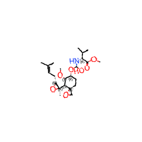 COC(=O)[C@H](NC(O)O[C@@H]1CC[C@]2(CO2)[C@@H]([C@@]2(C)O[C@@H]2CC=C(C)C)[C@@H]1OC)C(C)C